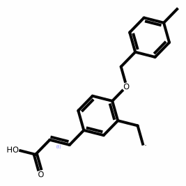 [CH2]Cc1cc(/C=C/C(=O)O)ccc1OCc1ccc(C)cc1